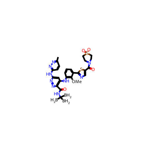 BC(B)(B)NC(=O)c1nnc(Nc2ccc(C)nn2)cc1Nc1cccc(-c2ncc(C(=O)N3CCS(=O)(=O)CC3)s2)c1OC